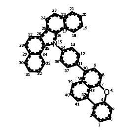 c1ccc2c(c1)Oc1ccc(-c3ccc(-n4c5c6ccccc6ccc5c5ccc6ccccc6c54)cc3)c3cccc-2c13